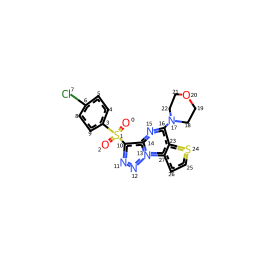 O=S(=O)(c1ccc(Cl)cc1)c1nnn2c1nc(N1CCOCC1)c1sccc12